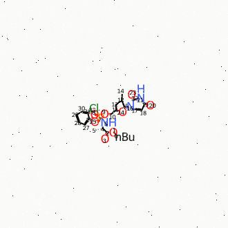 CCCCOC(=O)[C@H](C)NP(=O)(OCC1CC(C)C(n2ccc(=O)[nH]c2=O)O1)Oc1ccccc1Cl